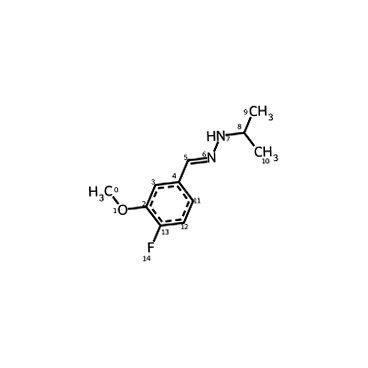 COc1cc(/C=N/NC(C)C)ccc1F